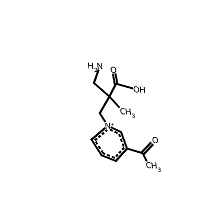 CC(=O)c1ccc[n+](CC(C)(CN)C(=O)O)c1